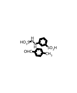 Cc1ccc(C=O)cc1.O=S(=O)(O)NNc1cccc(S(=O)(=O)O)c1